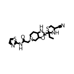 CCC1(N2NC3CCN(CC(=O)Nc4nccs4)CC3O2)NC(C#N)CS1